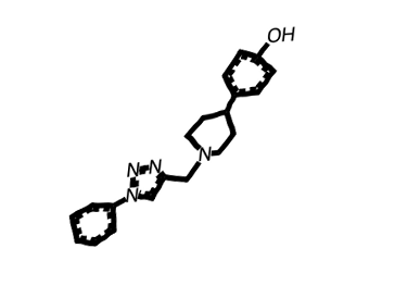 Oc1ccc(C2CCN(Cc3cn(-c4ccccc4)nn3)CC2)cc1